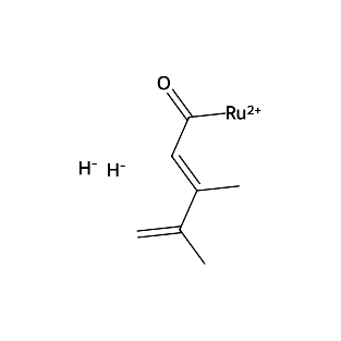 C=C(C)C(C)=C[C](=O)[Ru+2].[H-].[H-]